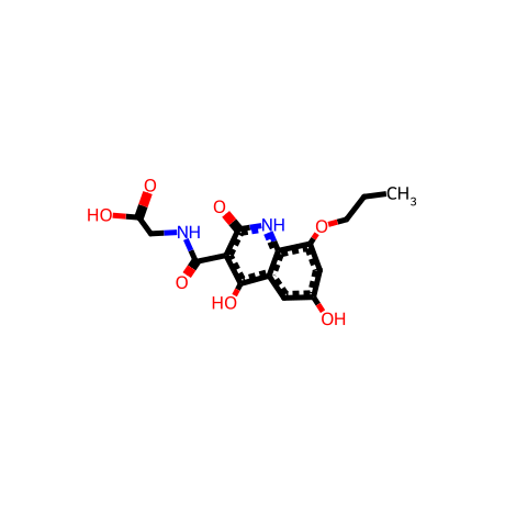 CCCOc1cc(O)cc2c(O)c(C(=O)NCC(=O)O)c(=O)[nH]c12